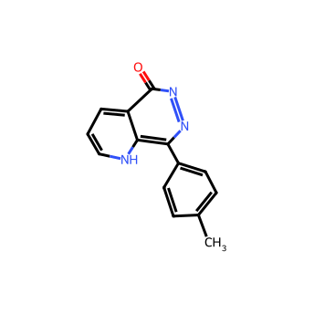 Cc1ccc(-c2nnc(=O)c3ccc[nH]c2-3)cc1